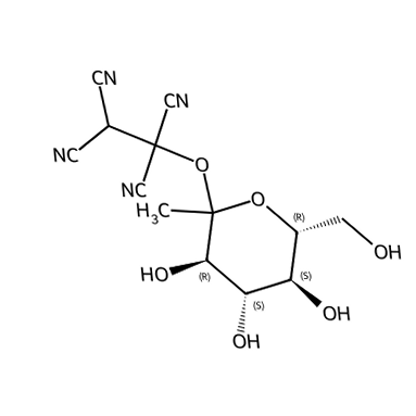 CC1(OC(C#N)(C#N)C(C#N)C#N)O[C@H](CO)[C@@H](O)[C@H](O)[C@H]1O